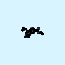 CCOC(=O)c1ccc([C@@H](CC(C)C)OS(C)(=O)=O)cc1